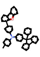 Cc1ccc(N(c2ccc(-c3cccc4c3oc3ccccc34)cc2)c2ccc(C3(c4ccccc4)c4ccccc4-c4ccccc43)cc2)cc1